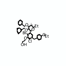 CCOc1ccc(Cc2cc([C@@H]3O[C@H](CC)[C@@H](C)[C@H](OCc4ccccc4)[C@H]3OCc3ccccc3)c(Br)c(OCCO)c2Cl)cc1